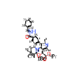 Cc1nc(C)c(C(OC(C)(C)C)C(=O)OC(C)C)c(N2CCC(C)(C#N)CC2)c1-c1ccc(C(=O)NCc2ccccc2)cc1